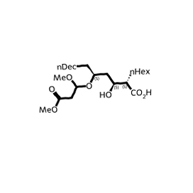 CCCCCCCCCCC[C@@H](C[C@H](O)[C@H](CCCCCC)C(=O)O)OC(CC(=O)OC)OC